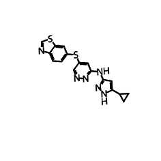 c1nc2ccc(Sc3cnnc(Nc4cc(C5CC5)[nH]n4)c3)cc2s1